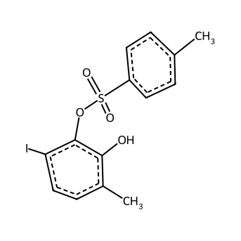 Cc1ccc(S(=O)(=O)Oc2c(I)ccc(C)c2O)cc1